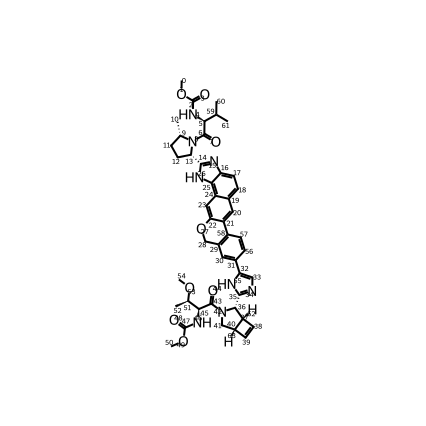 COC(=O)N[C@H](C(=O)N1[C@@H](C)CC[C@H]1c1nc2ccc3cc4c(cc3c2[nH]1)OCc1cc(-c2cnc([C@@H]3[C@@H]5C=C[C@@H]5CN3C(=O)[C@@H](NC(=O)OC)[C@@H](C)OC)[nH]2)ccc1-4)C(C)C